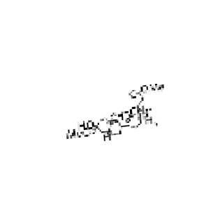 COC[C@]1(O)CC[C@]2(C)C3CC[C@@]4(C)C(CC[C@@H]4[C@H](C)CCC(=O)OC)C3CC[C@@H]2C1